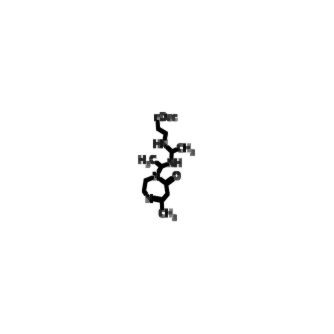 CCCCCCCCCCCCNC(C)NC(C)N1CCN=C(C)CC1=O